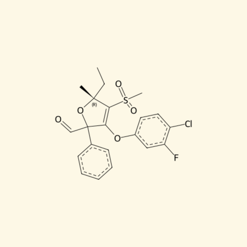 CC[C@@]1(C)OC(C=O)(c2ccccc2)C(Oc2ccc(Cl)c(F)c2)=C1S(C)(=O)=O